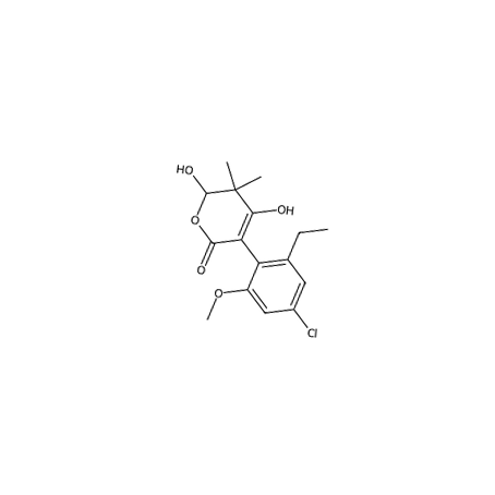 CCc1cc(Cl)cc(OC)c1C1=C(O)C(C)(C)C(O)OC1=O